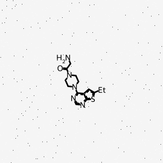 CCc1cc2c(N3CCN(C(=O)CN)CC3)ncnc2s1